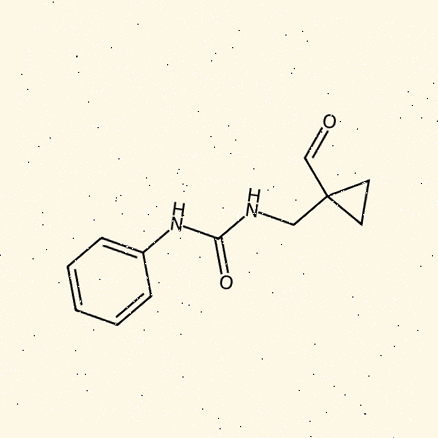 O=CC1(CNC(=O)Nc2ccccc2)CC1